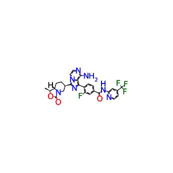 C[C@@H]1OC(=O)N2C[C@H](c3nc(-c4ccc(C(=O)Nc5cc(C(F)(F)F)ccn5)cc4F)c4c(N)nccn34)CC[C@@H]12